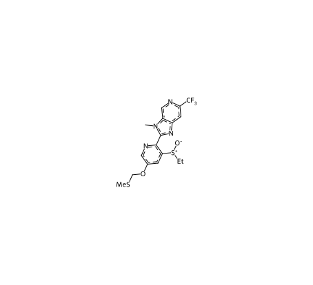 CC[S+]([O-])c1cc(OCSC)cnc1-c1nc2cc(C(F)(F)F)ncc2n1C